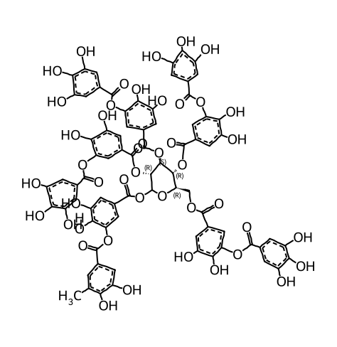 Cc1cc(C(=O)Oc2cc(C(=O)OC3O[C@H](COC(=O)c4cc(O)c(O)c(OC(=O)c5cc(O)c(O)c(O)c5)c4)[C@@H](OC(=O)c4cc(O)c(O)c(OC(=O)c5cc(O)c(O)c(O)c5)c4)[C@H](OC(=O)c4cc(O)c(O)c(OC(=O)c5cc(O)c(O)c(O)c5)c4)[C@H]3OC(=O)c3cc(O)c(O)c(OC(=O)c4cc(O)c(O)c(O)c4)c3)cc(O)c2O)cc(O)c1O